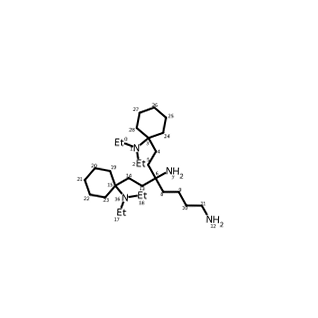 CCN(CC)C1(CCC(N)(CCCCN)CCC2(N(CC)CC)CCCCC2)CCCCC1